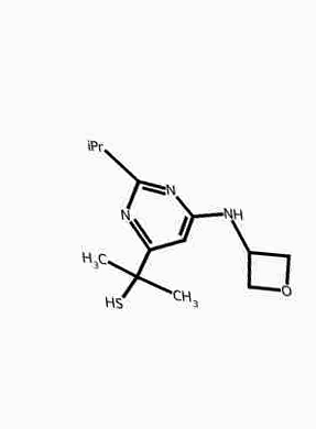 CC(C)c1nc(NC2COC2)cc(C(C)(C)S)n1